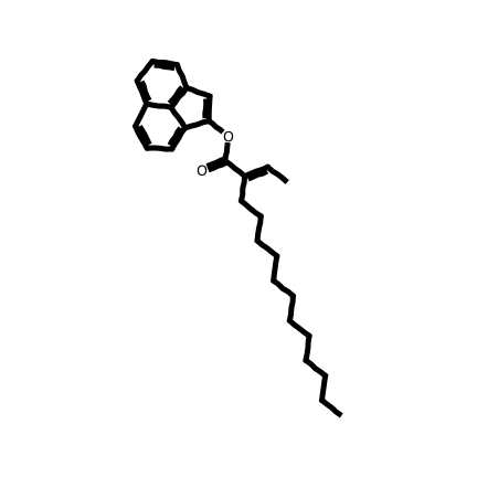 CC=C(CCCCCCCCCCCC)C(=O)OC1=Cc2cccc3cccc1c23